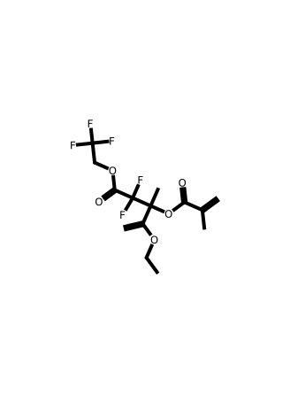 C=C(C)C(=O)OC(C)(C(=C)OCC)C(F)(F)C(=O)OCC(F)(F)F